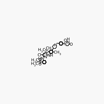 Cc1cc(Nc2ncc(Cl)c(Nc3ccccc3S(=O)(=O)C(C)C)n2)c(OC(C)C)cc1C1CCN(Cc2ccc(N3CCC(=O)NC3=O)cc2)CC1